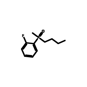 CCCCP(C)(=O)c1ccccc1F